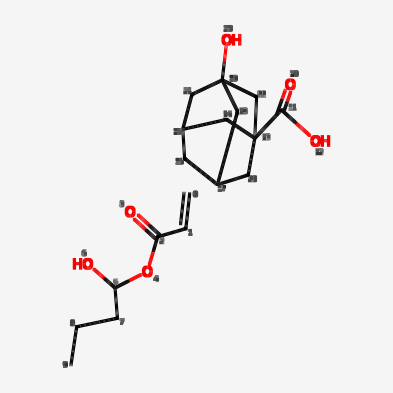 C=CC(=O)OC(O)CCC.O=C(O)C12CC3CC(CC(O)(C3)C1)C2